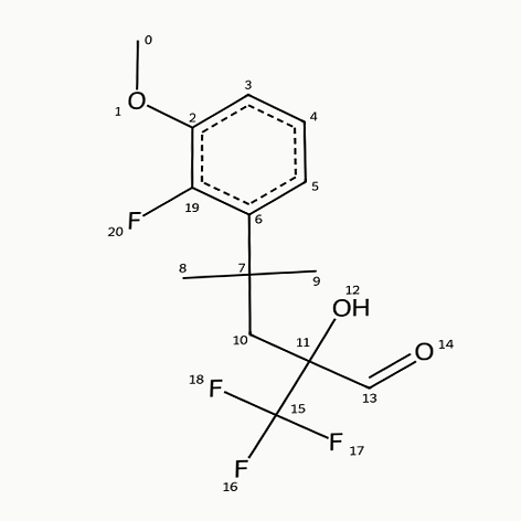 COc1cccc(C(C)(C)CC(O)(C=O)C(F)(F)F)c1F